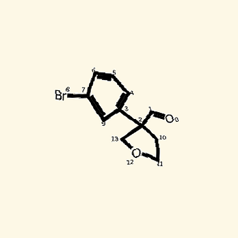 O=CC1(c2cccc(Br)c2)CCOC1